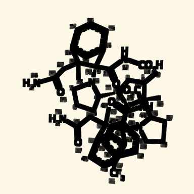 CC1C[C@@H](C2CCCN2[C@@]2(C(=O)NC(=O)O)c3cccc(c3)C2(C)CC(N)=O)N(c2ccc(C(F)(F)F)cc2)[C@@]1(C)C1CCCN1[C@@]1(C(=O)NC(=O)O)c2cccc(c2)C1(C)CC(N)=O